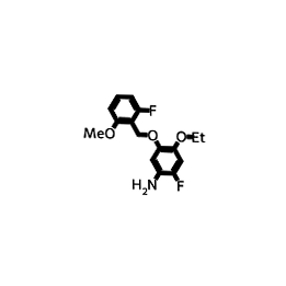 CCOc1cc(F)c(N)cc1OCc1c(F)cccc1OC